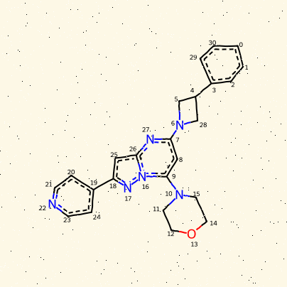 c1ccc(C2CN(c3cc(N4CCOCC4)n4nc(-c5ccncc5)cc4n3)C2)cc1